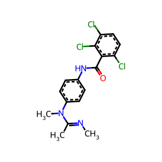 CN=C(C)N(C)c1ccc(NC(=O)c2c(Cl)ccc(Cl)c2Cl)cc1